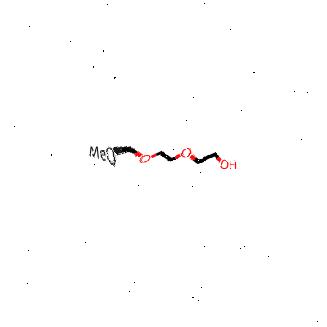 COCOCCOCCO